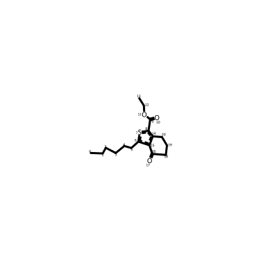 CCCCCCc1sc(C(=O)OCC)c2c1C(=O)CCC2